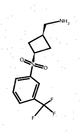 NC[C@H]1C[C@@H](S(=O)(=O)c2cccc(C(F)(F)F)c2)C1